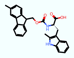 Cc1ccc2c(c1)-c1ccccc1C2COC(=O)N[C@@H](Cc1c(C)[nH]c2ccccc12)C(=O)O